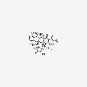 CN(C)[C@@H]1C(O)=C(C(N)=O)C(=O)[C@@]2(O)C(O)=C3C(=O)c4c(O)ccc(Cl)c4[C@@H](O)[C@H]3C[C@H]12.O=C(O)C(=O)O